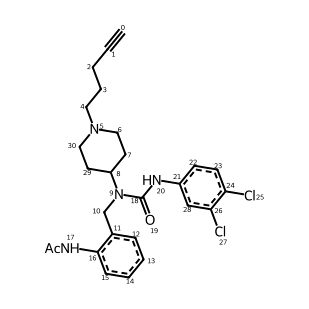 C#CCCCN1CCC(N(Cc2ccccc2NC(C)=O)C(=O)Nc2ccc(Cl)c(Cl)c2)CC1